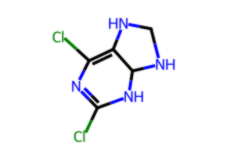 ClC1=NC(Cl)=C2NCNC2N1